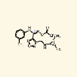 CN1C(NCc2nonc2/C(=N\OC(=O)C(F)(F)F)Nc2cccc(C(F)(F)F)c2)N1C#N